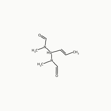 CC=C[SiH](N(C)C=O)N(C)C=O